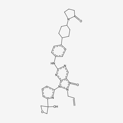 C=CCn1c(=O)c2cnc(Nc3ccc(C4CCC(N5CCCC5=O)CC4)cc3)nc2n1-c1cccc(C2(O)COC2)n1